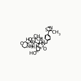 Cc1ncsc1-c1ccc(CNC(=O)[C@@H]2C[C@@H](O)CN2C(=O)C(NC(=O)[C@H]2COCCN2)C(C)(C)C)cc1